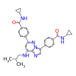 CC(C)CNc1cc(-c2ccc(C(=O)NC3CC3)cc2)nn2c(-c3ccc(C(=O)NC4CC4)cc3)cnc12